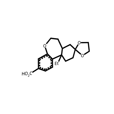 CCC12CCC3(CC1CCOc1cc(C(=O)O)ccc12)OCCO3